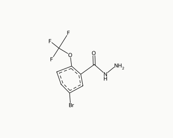 NNC(=O)c1cc(Br)ccc1OC(F)(F)F